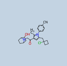 Cc1c(C(=O)CN2C3CCC2[C@@H](O)C3)cc(CC2(Cl)CCC2)n1-c1ccc(C#N)cc1